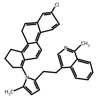 Cc1ncc(CCc2ccc(C)n2C2=c3ccc4c(c3CCC2)CC=c2cc(Cl)ccc2=4)c2ccccc12